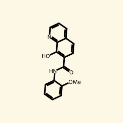 COc1ccccc1NC(=O)c1ccc2cccnc2c1O